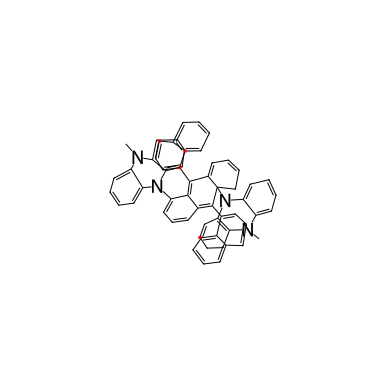 CN1C2=C(C=CCC2)N(C23CC=CC=C2C(c2cccc4ccccc24)=c2c(N4c5ccccc5N(C)c5ccccc54)cccc2=C3c2cccc3ccccc23)c2ccccc21